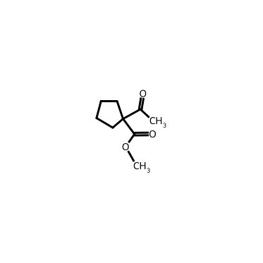 COC(=O)C1(C(C)=O)CCCC1